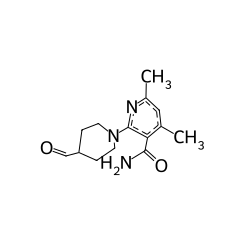 Cc1cc(C)c(C(N)=O)c(N2CCC(C=O)CC2)n1